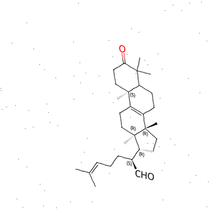 CC(C)=CCC[C@H](C=O)[C@H]1CC[C@@]2(C)C3=C(CC[C@]12C)[C@@]1(C)CCC(=O)C(C)(C)C1CC3